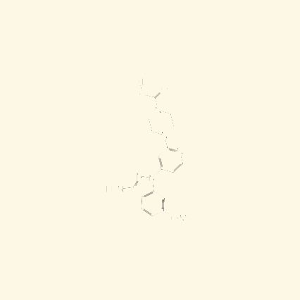 COc1ccc2c(N)nn(-c3ccnc(N4CCN(C(=O)OC(C)(C)C)CC4)c3)c2c1